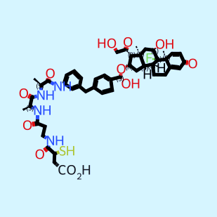 C[C@H](NC(=O)CCNC(=O)C(S)CC(=O)O)C(=O)N[C@@H](C)C(=O)Nc1cccc(Cc2ccc([C@@H](O)O[C@@H]3C[C@H]4[C@@H]5CCC6=CC(=O)C=C[C@]6(C)[C@@]5(F)[C@@H](O)C[C@]4(C)[C@H]3C(=O)CO)cc2)c1